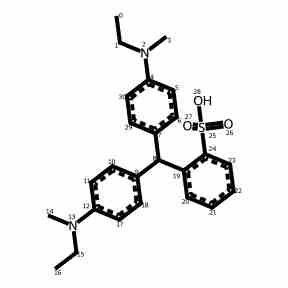 CCN(C)c1ccc(C(c2ccc(N(C)CC)cc2)c2ccccc2S(=O)(=O)O)cc1